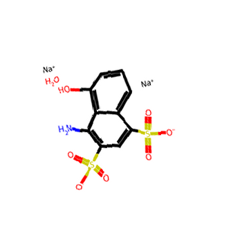 Nc1c(S(=O)(=O)[O-])cc(S(=O)(=O)[O-])c2cccc(O)c12.O.[Na+].[Na+]